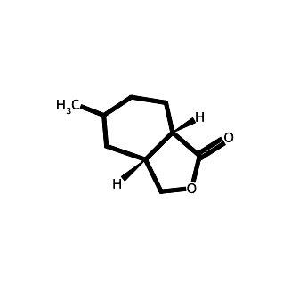 CC1CC[C@@H]2C(=O)OC[C@@H]2C1